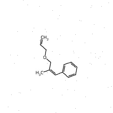 C=CCOCC(C)=Cc1ccccc1